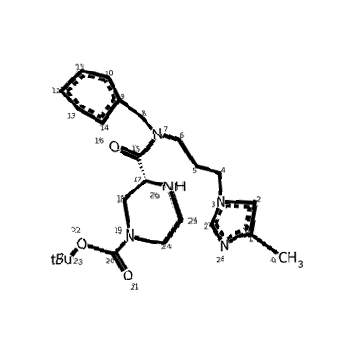 Cc1cn(CCCN(Cc2ccccc2)C(=O)[C@H]2CN(C(=O)OC(C)(C)C)CCN2)cn1